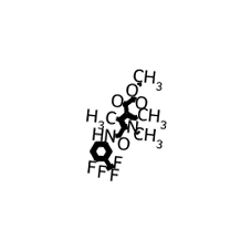 CCOC(=O)C(=O)c1c(C)c(C(=O)Nc2ccc(F)c(C(F)(F)F)c2)n(C)c1C